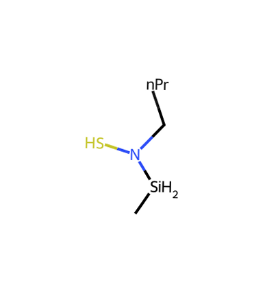 CCCCN(S)[SiH2]C